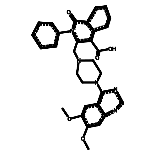 COc1cc2ncnc(N3CCN(Cc4c(C(=O)O)c5ccccc5c(=O)n4-c4ccccc4)CC3)c2cc1OC